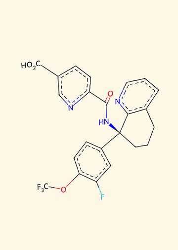 O=C(O)c1ccc(C(=O)N[C@]2(c3ccc(OC(F)(F)F)c(F)c3)CCCc3cccnc32)nc1